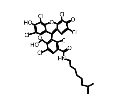 CC(C)CCCCCCNC(=O)c1cc(Cl)c(C(=O)O)c(-c2c3cc(Cl)c(=O)c(Cl)c-3oc3c(Cl)c(O)c(Cl)cc23)c1Cl